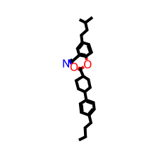 CCCCc1ccc(C2CCC(C(=O)Oc3ccc(CCC(C)C)cc3C#N)CC2)cc1